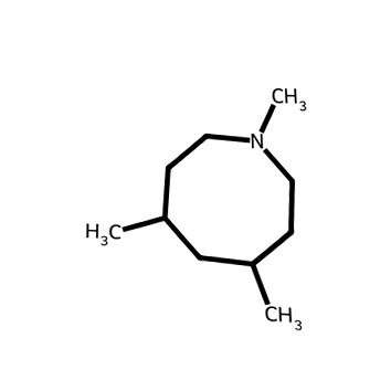 CC1CCN(C)CCC(C)C1